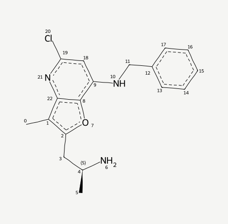 Cc1c(C[C@H](C)N)oc2c(NCc3ccccc3)cc(Cl)nc12